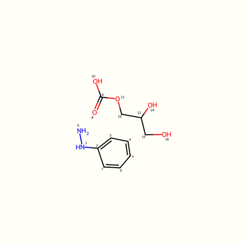 NNc1ccccc1.O=C(O)OCC(O)CO